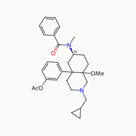 COC12CC[C@H](N(C)C(=O)c3ccccc3)CC1(c1cccc(OC(C)=O)c1)CCN(CC1CC1)C2